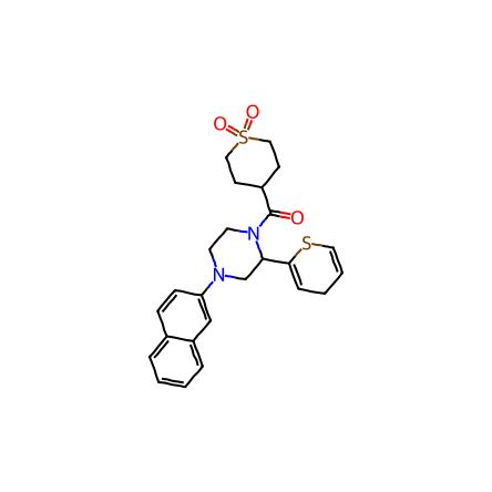 O=C(C1CCS(=O)(=O)CC1)N1CCN(c2ccc3ccccc3c2)CC1C1=CCC=CS1